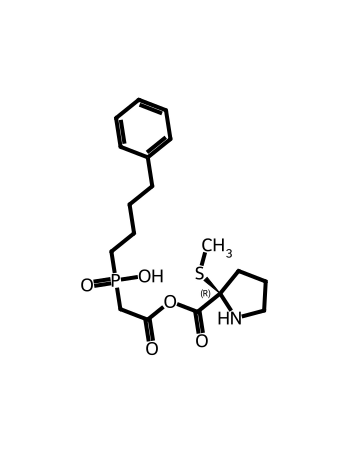 CS[C@@]1(C(=O)OC(=O)CP(=O)(O)CCCCc2ccccc2)CCCN1